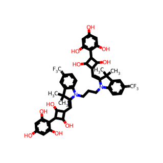 CC1(C)C(=CC2C(O)C(c3c(O)cc(O)cc3O)C2O)N(CCCN2C(=CC3C(O)C(c4c(O)cc(O)cc4O)C3O)C(C)(C)c3cc(C(F)(F)F)ccc32)c2ccc(C(F)(F)F)cc21